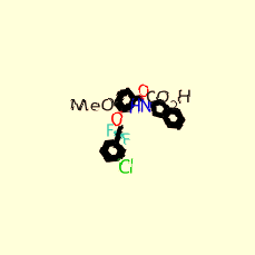 COc1ccc(C(=O)NC2(C(=O)O)Cc3ccccc3C2)cc1OCC(F)(F)c1cccc(Cl)c1